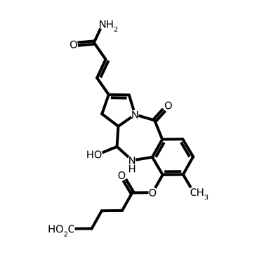 Cc1ccc2c(c1OC(=O)CCCC(=O)O)NC(O)C1CC(C=CC(N)=O)=CN1C2=O